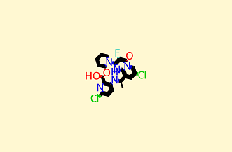 C[C@@H](Nc1ccc(Cl)nc1C(=O)O)c1cc(Cl)cn2c(=O)c(F)c(N3CCCCC3)nc12